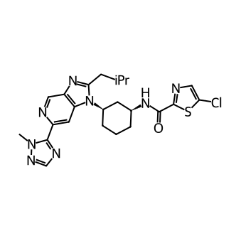 CC(C)Cc1nc2cnc(-c3ncnn3C)cc2n1[C@@H]1CCC[C@H](NC(=O)c2ncc(Cl)s2)C1